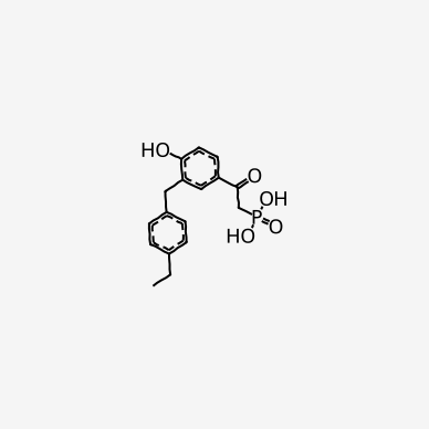 CCc1ccc(Cc2cc(C(=O)CP(=O)(O)O)ccc2O)cc1